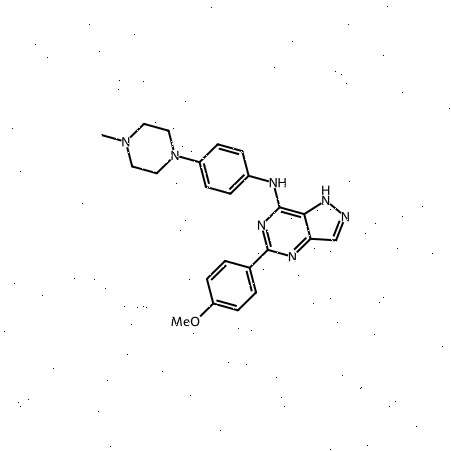 COc1ccc(-c2nc(Nc3ccc(N4CCN(C)CC4)cc3)c3[nH]ncc3n2)cc1